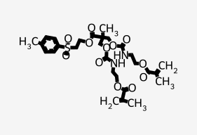 C=C(C)C(=O)OCCNC(=O)OCC(C)(COC(=O)NCCOC(=O)C(=C)C)C(=O)OCCS(=O)(=O)c1ccc(C)cc1